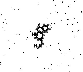 CC(CC1=NCC2C(CN)C2CN1)c1ccccc1